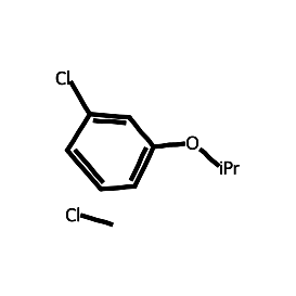 CC(C)Oc1cccc(Cl)c1.CCl